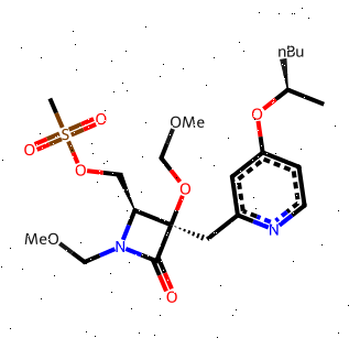 CCCC[C@@H](C)Oc1ccnc(C[C@]2(OCOC)C(=O)N(COC)[C@H]2COS(C)(=O)=O)c1